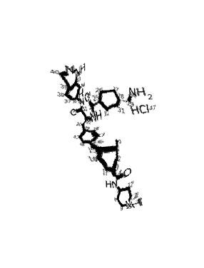 Cc1cc(C(=O)NC2CCNCC2)ccc1-c1ccc(C[C@H](NC(=O)[C@H]2CC[C@H](CN)CC2)C(=O)Nc2ccc3cn[nH]c3c2)cc1.Cl